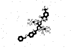 CC(C)(C)OC(=O)C(CCn1nnc2ccc(C(F)(F)F)cc2c1=O)(CC(=O)c1cc2ccc(OCc3ccccc3)cc2s1)C(O)OC(C)(C)C